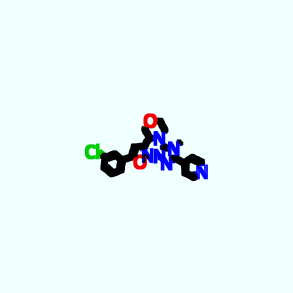 Cn1c(-c2ccncc2)nnc1N1CCOCC1c1cc(-c2cccc(Cl)c2)on1